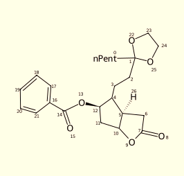 CCCCCC1(CCC2[C@H]3CC(=O)OC3C[C@H]2OC(=O)c2ccccc2)OCCO1